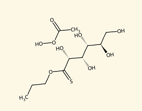 CC(=O)OO.CCCOC(=S)[C@H](O)[C@@H](O)[C@H](O)[C@H](O)CO